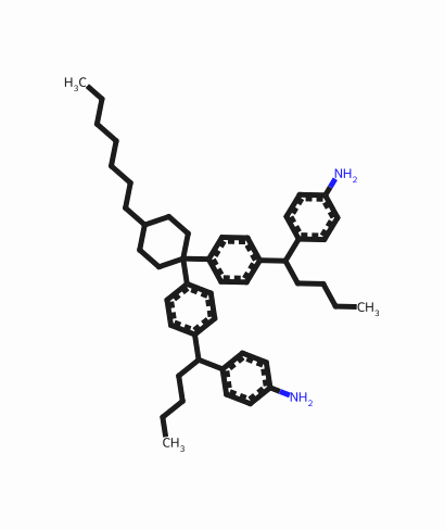 CCCCCCCC1CCC(c2ccc(C(CCCC)c3ccc(N)cc3)cc2)(c2ccc(C(CCCC)c3ccc(N)cc3)cc2)CC1